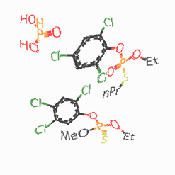 CCCSP(=O)(OCC)Oc1c(Cl)cc(Cl)cc1Cl.CCOP(=S)(OC)Oc1cc(Cl)c(Cl)cc1Cl.O=[PH](O)O